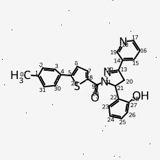 Cc1ccc(-c2ccc(C(=O)N3N=C(c4cccnc4)CC3c3ccccc3O)s2)cc1